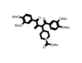 C=C(C(=O)c1ccc(OC)c(OC)c1)C(C(=O)c1ccc(OC)c(OC)c1)C1CCN(C(=O)OC)CC1